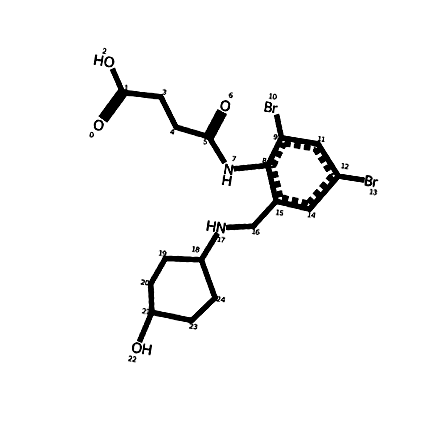 O=C(O)CCC(=O)Nc1c(Br)cc(Br)cc1CNC1CCC(O)CC1